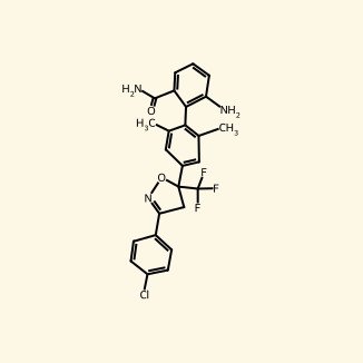 Cc1cc(C2(C(F)(F)F)CC(c3ccc(Cl)cc3)=NO2)cc(C)c1-c1c(N)cccc1C(N)=O